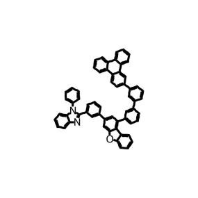 c1ccc(-n2c(-c3cccc(-c4cc(-c5cccc(-c6cccc(-c7ccc8c9ccccc9c9ccccc9c8c7)c6)c5)c5c(c4)oc4ccccc45)c3)nc3ccccc32)cc1